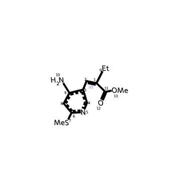 CC/C(=C/c1cnc(SC)cc1N)C(=O)OC